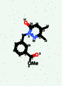 COC(=O)c1cccc(Cn2nc(C)c(C)cc2=O)c1